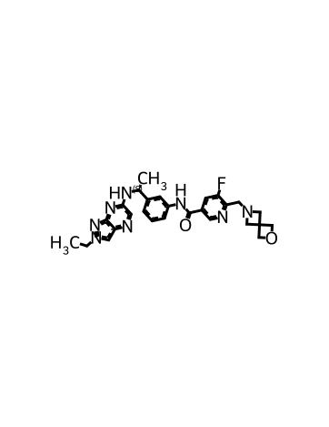 CCn1cc2ncc(N[C@@H](C)c3cccc(NC(=O)c4cnc(CN5CC6(COC6)C5)c(F)c4)c3)nc2n1